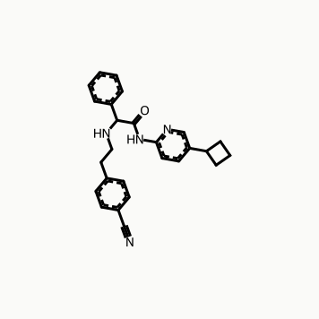 N#Cc1ccc(CCNC(C(=O)Nc2ccc(C3CCC3)cn2)c2ccccc2)cc1